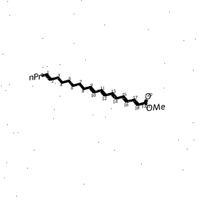 CCCC=CCCCCCCC=CC=CC=CC=CC=CC(=O)OC